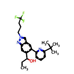 CCC(O)c1cc2nn(CCCC(F)(F)F)cc2cc1-c1cccc(C(C)(C)C)n1